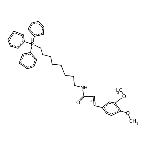 COc1ccc(/C=C/C(=O)NCCCCCCCC[PH](c2ccccc2)(c2ccccc2)c2ccccc2)cc1OC